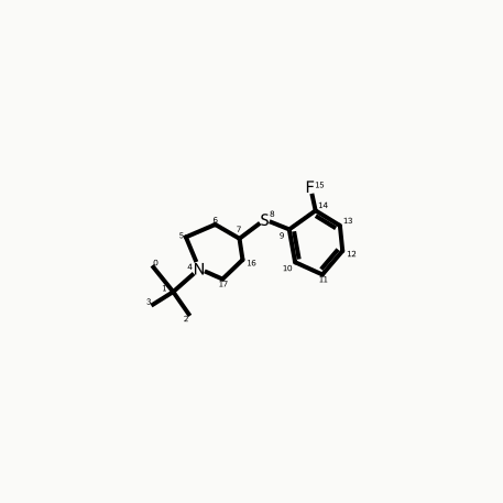 CC(C)(C)N1CCC(Sc2ccccc2F)CC1